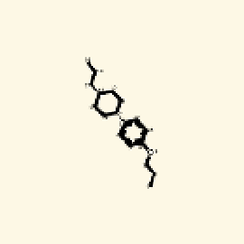 CCCOc1ccc([C@H]2CC[C@H](CCC)CC2)cc1